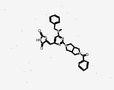 CN(Cc1ccccc1)c1cc(/C=C2\SC(=O)NC2=O)nc(N2CC3CN(C(=O)c4ccccc4)CC3C2)n1